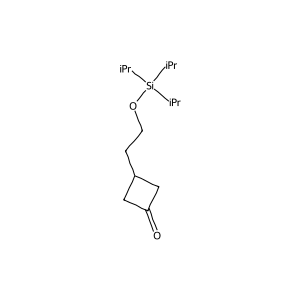 CC(C)[Si](OCCC1CC(=O)C1)(C(C)C)C(C)C